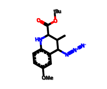 COc1ccc2c(c1)C(N=[N+]=[N-])C(C)C(C(=O)OC(C)(C)C)N2